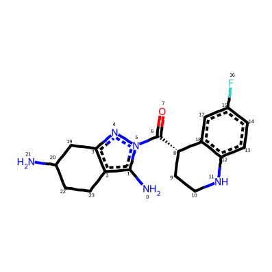 Nc1c2c(nn1C(=O)[C@H]1CCNc3ccc(F)cc31)CC(N)CC2